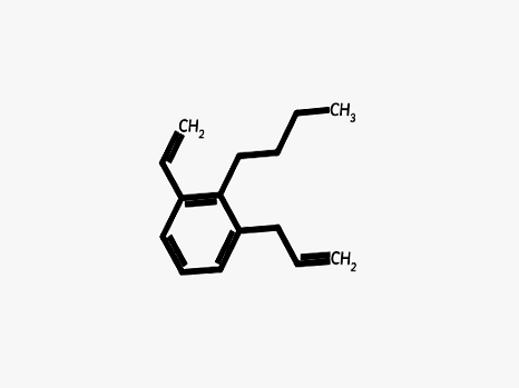 C=CCc1cccc(C=C)c1CCCC